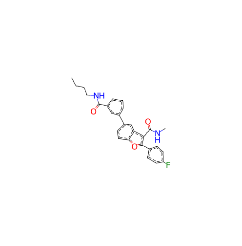 CCCCNC(=O)c1cccc(-c2ccc3oc(-c4ccc(F)cc4)c(C(=O)NC)c3c2)c1